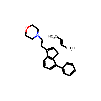 C1=C(CCN2CCOCC2)c2cccc(-c3ccccc3)c2C1.O=C(O)C=CC(=O)O